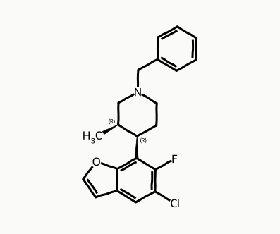 C[C@H]1CN(Cc2ccccc2)CC[C@H]1c1c(F)c(Cl)cc2ccoc12